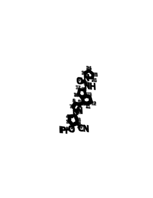 CC(C)Oc1ccc(-n2ccc(-c3cccc4c3CCC4NC(=O)N3CCCC3)n2)cc1C#N